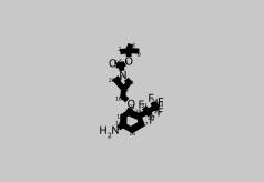 CC(C)(C)OC(=O)N1CC(COc2cc(N)ccc2C(F)(F)C(F)(F)F)C1